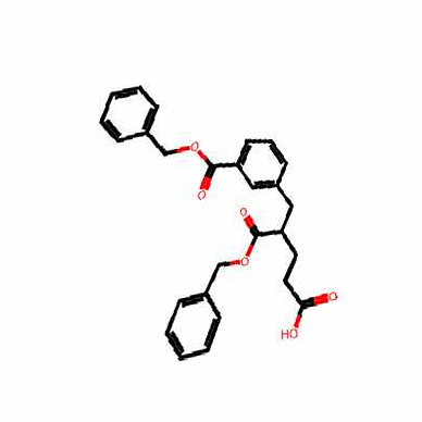 O=C(O)CCC(Cc1cccc(C(=O)OCc2ccccc2)c1)C(=O)OCc1ccccc1